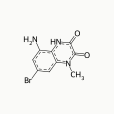 Cn1c(=O)c(=O)[nH]c2c(N)cc(Br)cc21